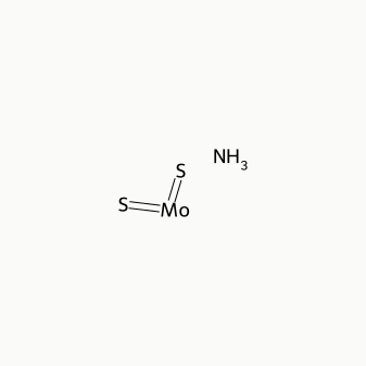 N.[S]=[Mo]=[S]